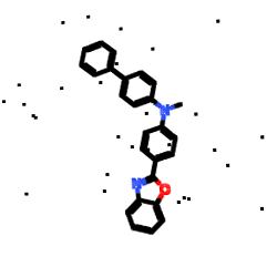 CN(c1ccc(-c2ccccc2)cc1)c1ccc(-c2nc3ccccc3o2)cc1